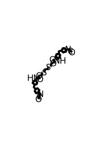 O=C=Nc1ccc(Cc2ccc(NC(=O)OCCSCCSCCOC(=O)Nc3ccc(Cc4ccc(N=C=O)cc4)cc3)cc2)cc1